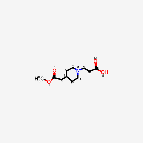 COC(=O)CC1CCN(CCC(=O)O)CC1